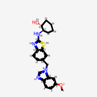 COc1ccc2ncn(Cc3ccc4nc(N[C@@H]5CCCC[C@H]5O)sc4c3)c2c1